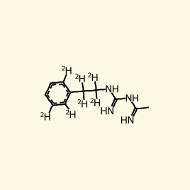 [2H]c1ccc([2H])c(C([2H])([2H])C([2H])([2H])NC(=N)NC(C)=N)c1[2H]